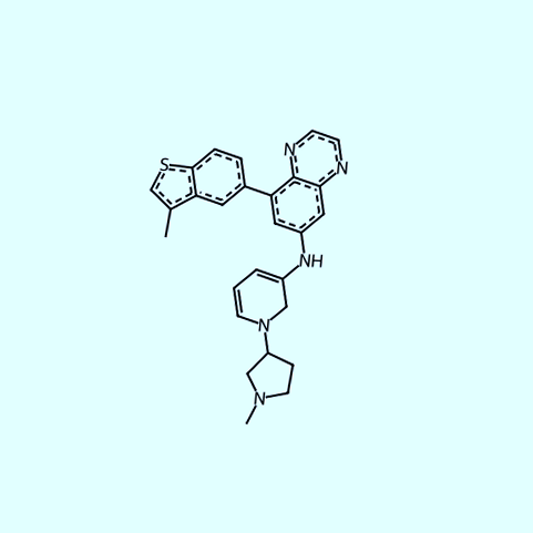 Cc1csc2ccc(-c3cc(NC4=CC=CN(C5CCN(C)C5)C4)cc4nccnc34)cc12